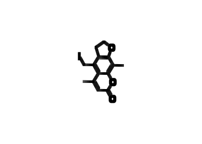 Cc1c2c(c(CI)c3c(C)cc(=O)oc13)CCO2